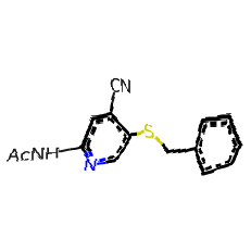 CC(=O)Nc1cc(C#N)c(SCc2ccccc2)cn1